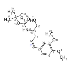 COc1ccc(/C=C\C[C@@H](CO)NC(=O)OC(C)(C)C)cc1OC